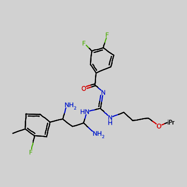 Cc1ccc(C(N)CC(N)N/C(=N\C(=O)c2ccc(F)c(F)c2)NCCCOC(C)C)cc1F